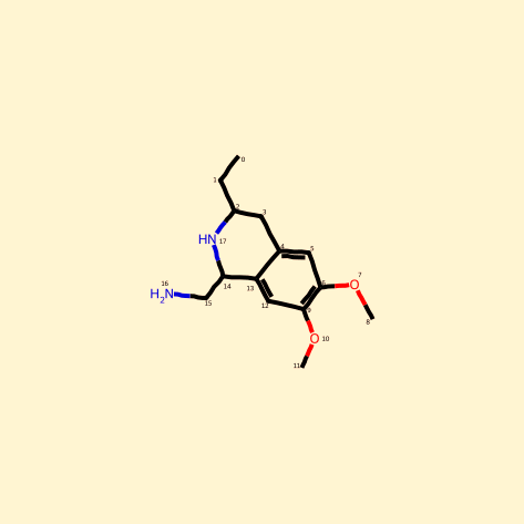 CCC1Cc2cc(OC)c(OC)cc2C(CN)N1